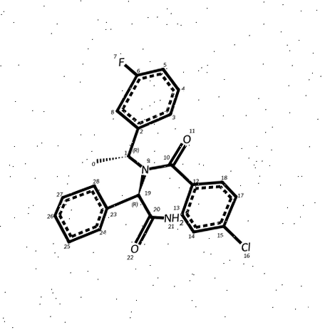 C[C@H](c1cccc(F)c1)N(C(=O)c1ccc(Cl)cc1)[C@@H](C(N)=O)c1ccccc1